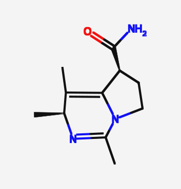 CC1=N[C@@H](C)C(C)=C2[C@@H](C(N)=O)CCN12